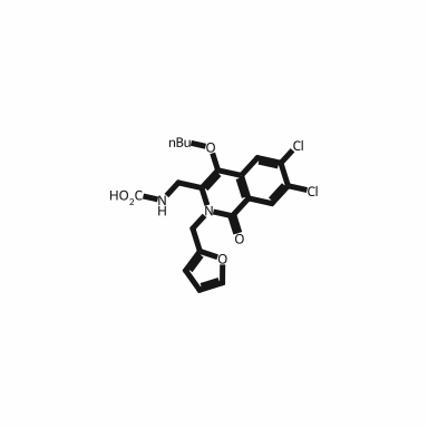 CCCCOc1c(CNC(=O)O)n(Cc2ccco2)c(=O)c2cc(Cl)c(Cl)cc12